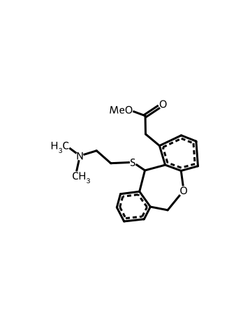 COC(=O)Cc1cccc2c1C(SCCN(C)C)c1ccccc1CO2